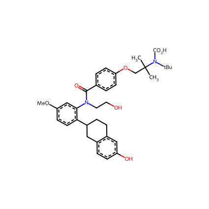 COc1ccc(C2CCc3cc(O)ccc3C2)c(N(CCO)C(=O)c2ccc(OCC(C)(C)N(C(=O)O)C(C)(C)C)cc2)c1